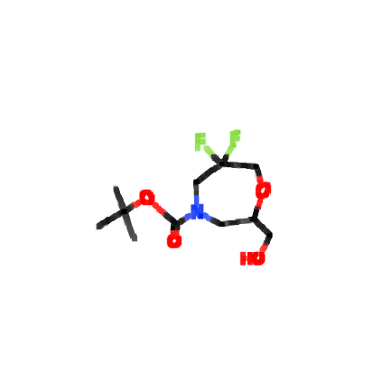 CC(C)(C)OC(=O)N1CC(CO)OCC(F)(F)C1